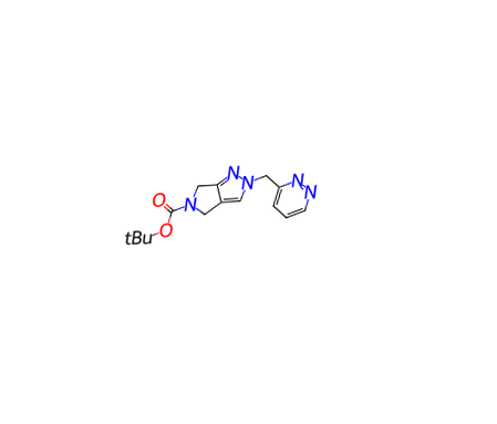 CC(C)(C)OC(=O)N1Cc2cn(Cc3cccnn3)nc2C1